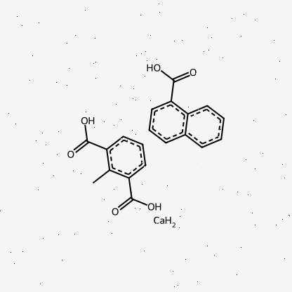 Cc1c(C(=O)O)cccc1C(=O)O.O=C(O)c1cccc2ccccc12.[CaH2]